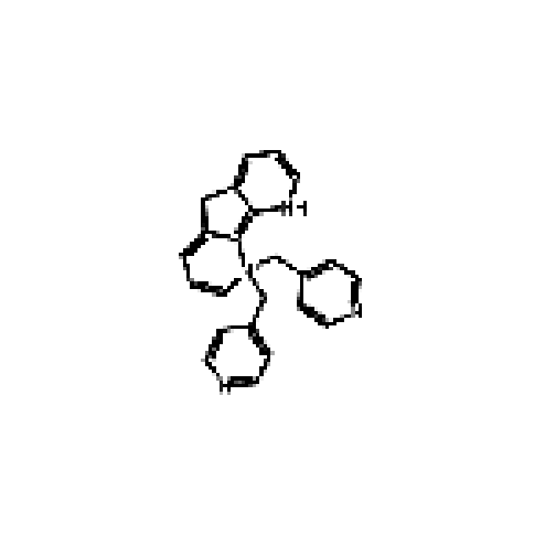 C1=CNC2=C3C(=CC=C[N+]3(Cc3ccncc3)Cc3ccncc3)CC2=C1